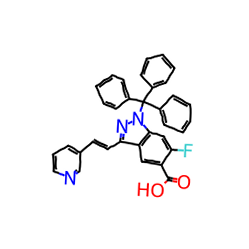 O=C(O)c1cc2c(/C=C/c3cccnc3)nn(C(c3ccccc3)(c3ccccc3)c3ccccc3)c2cc1F